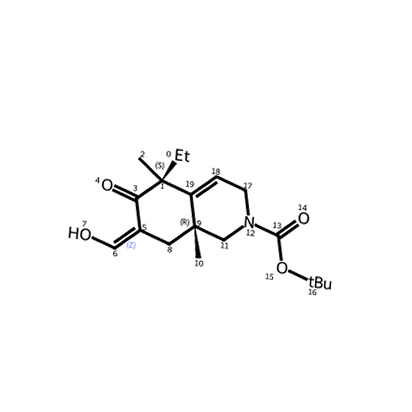 CC[C@]1(C)C(=O)/C(=C\O)C[C@@]2(C)CN(C(=O)OC(C)(C)C)CC=C21